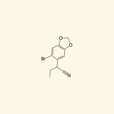 CCC(C#N)c1cc2c(cc1Br)OCO2